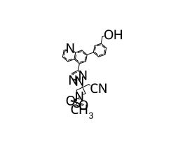 CS(=O)(=O)N1CC(CC#N)(n2ncc(-c3cc(-c4cccc(CO)c4)cc4ncccc34)n2)C1